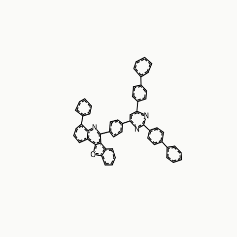 c1ccc(-c2ccc(-c3cc(-c4ccc(-c5nc6c(-c7ccccc7)cccc6c6oc7ccccc7c56)cc4)nc(-c4ccc(-c5ccccc5)cc4)n3)cc2)cc1